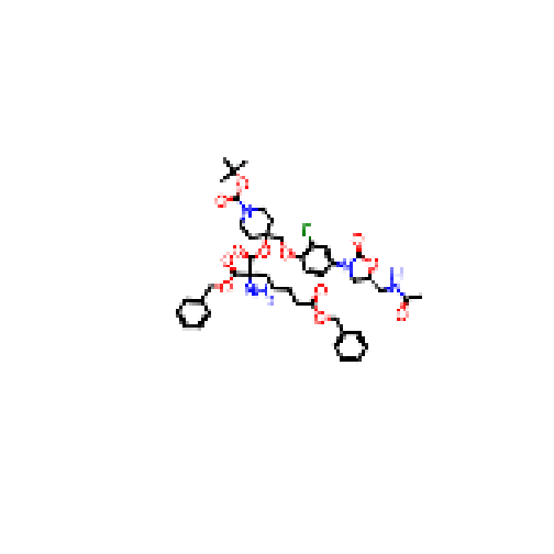 CC(=O)NC[C@H]1CN(c2ccc(OCC3(OC(=O)C(N)(CCCCC(=O)OCc4ccccc4)C(=O)OCc4ccccc4)CCN(C(=O)OC(C)(C)C)CC3)c(F)c2)C(=O)O1